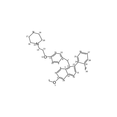 COc1ccc2c(Cc3ccc(OCCN4CCCCC4)cc3)c(-c3ccccc3F)ccc2c1